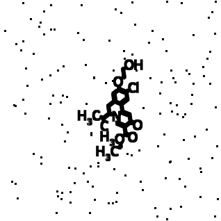 CCOC(=O)c1cn2c(cc1=O)-c1cc(Cl)c(OCCO)cc1CC2C(C)C